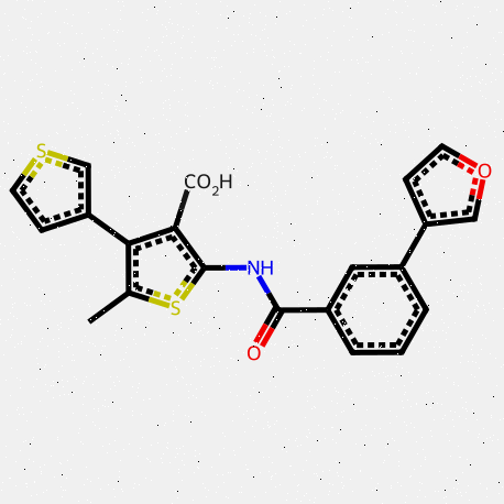 Cc1sc(NC(=O)c2cccc(-c3ccoc3)c2)c(C(=O)O)c1-c1ccsc1